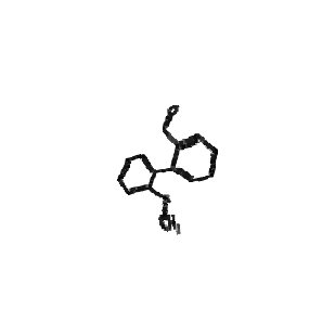 CSc1ccccc1-c1ccccc1C=O